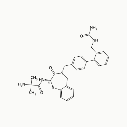 CC(C)(N)C(=O)N[C@@H]1Sc2ccccc2CN(Cc2ccc(-c3ccccc3CNC(N)=O)cc2)C1=O